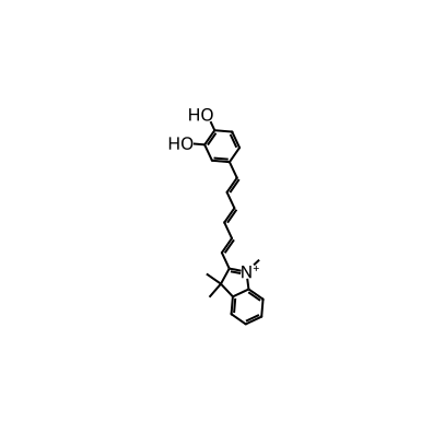 C[N+]1=C(/C=C/C=C/C=C/c2ccc(O)c(O)c2)C(C)(C)c2ccccc21